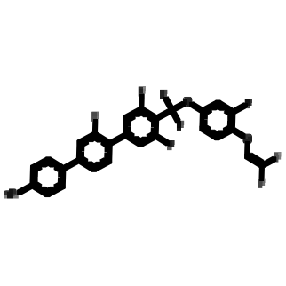 CCCc1ccc(-c2ccc(-c3cc(F)c(C(F)(F)Oc4ccc(OC=C(F)F)c(F)c4)c(F)c3)c(F)c2)cc1